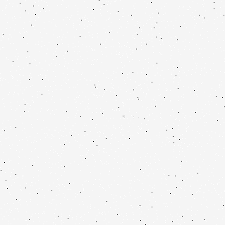 O=C1c2ccc(F)cc2-c2ccc(O)c(-c3ccccc3)c21